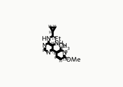 CC[C@@H](Nc1ncnc(-c2ccc(OC)nc2C)c1N)C1CC1